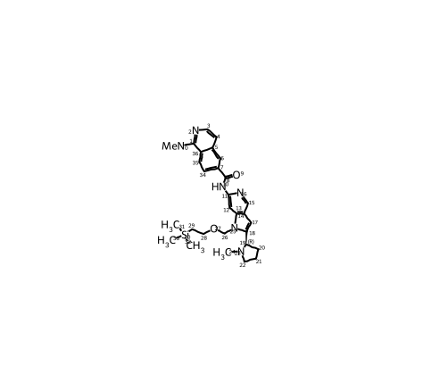 CNc1nccc2cc(C(=O)Nc3cc4c(cn3)cc([C@H]3CCCN3C)n4COCC[Si](C)(C)C)ccc12